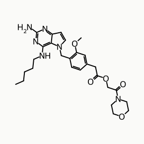 CCCCCNc1nc(N)nc2ccn(Cc3ccc(CC(=O)OCC(=O)N4CCOCC4)cc3OC)c12